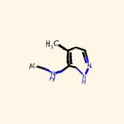 CC(=O)Nc1[nH]ncc1C